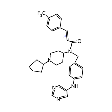 O=C(/C=C/c1ccc(C(F)(F)F)cc1)N(Cc1ccc(Nc2cncnc2)cc1)C1CCN(C2CCCC2)CC1